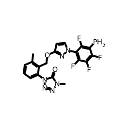 Cc1cccc(-n2nnn(C)c2=O)c1COc1ccn(-c2c(F)c(F)c(F)c(P)c2F)n1